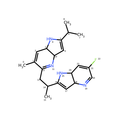 CC1=CC2NC(C(C)C)=CC2N=C1CC(C)C1=CC2N=CC(F)=CC2N1